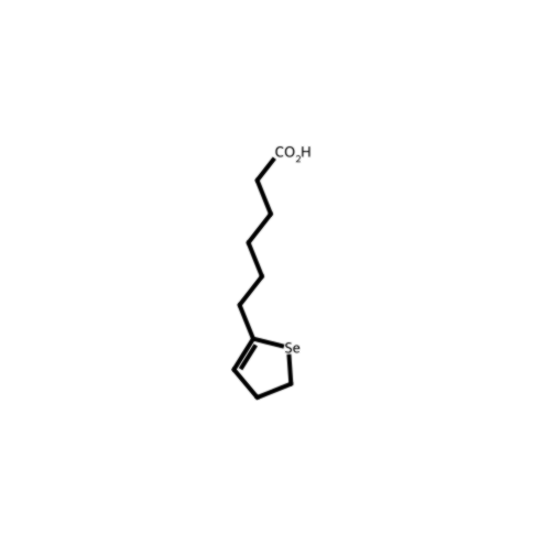 O=C(O)CCCCCC1=CCC[Se]1